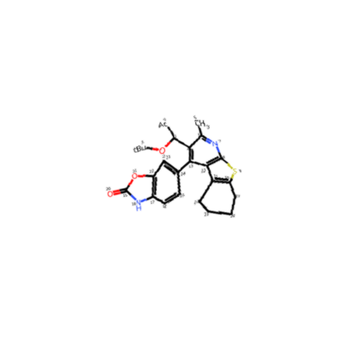 CC(=O)C(OC(C)(C)C)c1c(C)nc2sc3c(c2c1-c1ccc2[nH]c(=O)oc2c1)CCCC3